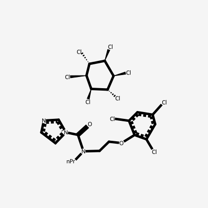 CCCN(CCOc1c(Cl)cc(Cl)cc1Cl)C(=O)n1ccnc1.Cl[C@H]1[C@H](Cl)[C@@H](Cl)[C@@H](Cl)[C@H](Cl)[C@H]1Cl